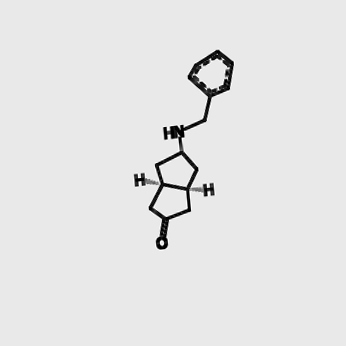 O=C1C[C@@H]2CC(NCc3ccccc3)C[C@@H]2C1